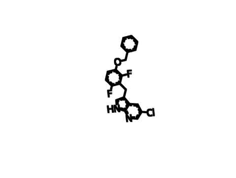 Fc1ccc(OCc2ccccc2)c(F)c1Cc1c[nH]c2ncc(Cl)cc12